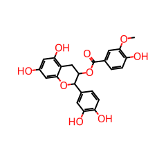 COc1cc(C(=O)OC2Cc3c(O)cc(O)cc3OC2c2ccc(O)c(O)c2)ccc1O